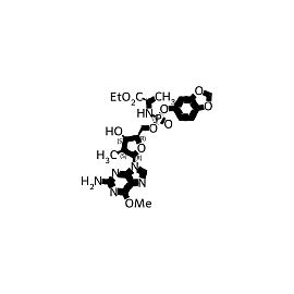 CCOC(=O)[C@H](C)N[P@](=O)(OC[C@H]1O[C@@H](n2cnc3c(OC)nc(N)nc32)[C@@H](C)[C@@H]1O)Oc1ccc2c(c1)OCO2